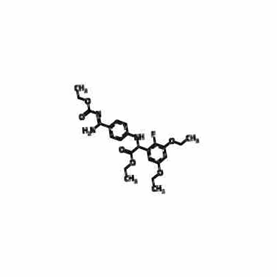 CCOC(=O)/N=C(\N)c1ccc(NC(C(=O)OCC)c2cc(OCC)cc(OCC)c2F)cc1